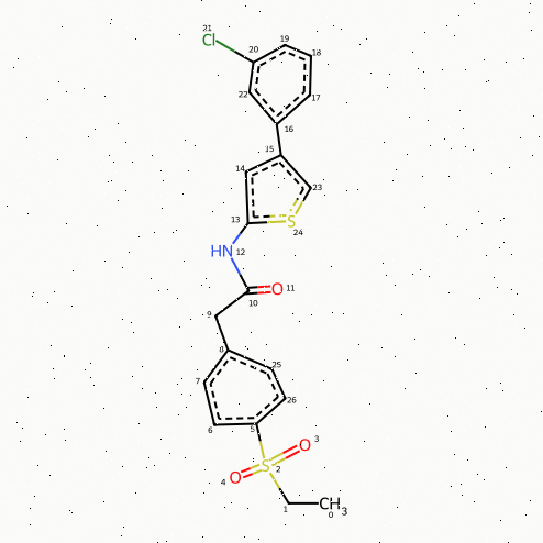 CCS(=O)(=O)c1ccc(CC(=O)Nc2cc(-c3cccc(Cl)c3)cs2)cc1